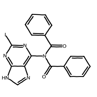 O=C(c1ccccc1)N(C(=O)c1ccccc1)c1nc(I)nc2[nH]cnc12